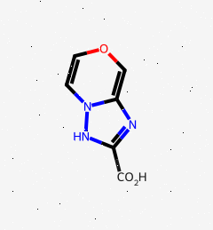 O=C(O)C1=NC2=COC=CN2N1